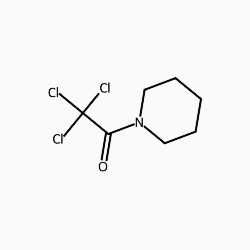 O=C(N1CCCCC1)C(Cl)(Cl)Cl